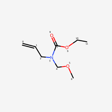 C=CCN(COC)C(=O)OCC